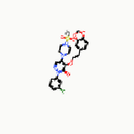 CC(C)S(=O)(=O)N1CCN(c2cnn(-c3cccc(Cl)c3)c(=O)c2OCCc2ccc3c(c2)OCO3)CC1